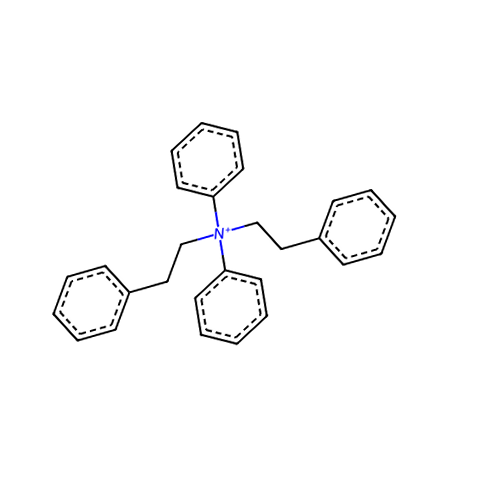 c1ccc(CC[N+](CCc2ccccc2)(c2ccccc2)c2ccccc2)cc1